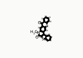 Cn1c(=O)c2sc3ccccc3c2c2cc3sc4ccccc4c(=O)c3cc21